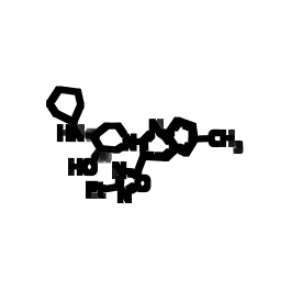 CCc1noc(-c2cc3cc(C)ccc3nc2N2CC[C@@H](NC3CCCCC3)[C@H](O)C2)n1